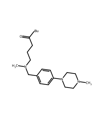 CCC(C)C(=O)CCCN(C)Cc1ccc(N2CCN(C)CC2)cc1